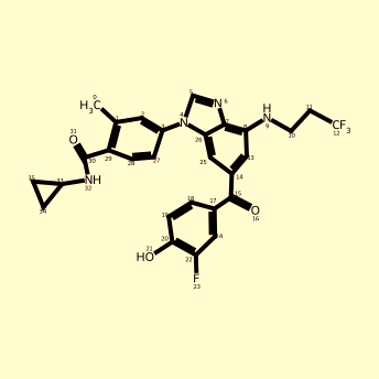 Cc1cc(-n2cnc3c(NCCC(F)(F)F)cc(C(=O)c4ccc(O)c(F)c4)cc32)ccc1C(=O)NC1CC1